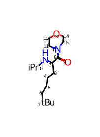 CC(C)NC(CCCCC(C)(C)C)C(=O)N1CCOCC1